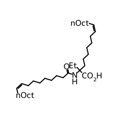 CCCCCCCC/C=C\CCCCCCCC(=O)NC(CC)(CCCCCC/C=C\CCCCCCCC)C(=O)O